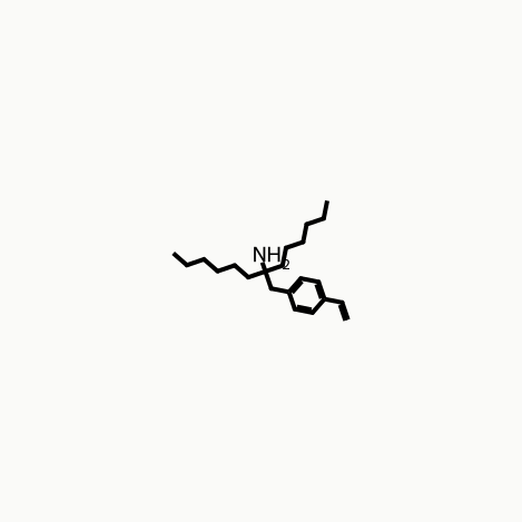 C=Cc1ccc(CC(N)(CCCCCC)CCCCCC)cc1